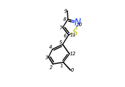 Cc1cccc(-c2cc(C)ns2)c1